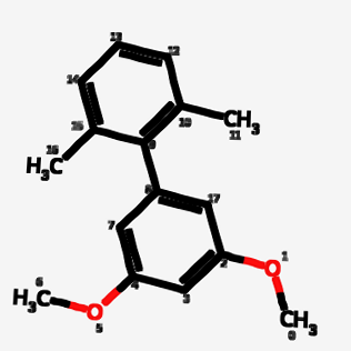 COc1cc(OC)cc(-c2c(C)cccc2C)c1